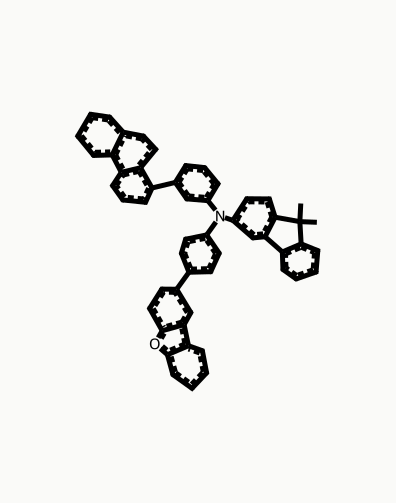 CC1(C)c2ccccc2-c2cc(N(c3ccc(-c4ccc5oc6ccccc6c5c4)cc3)c3cccc(-c4cccc5c4ccc4ccccc45)c3)ccc21